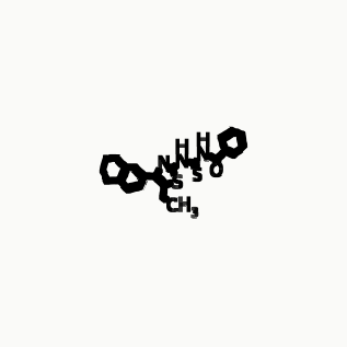 CCc1sc(NC(=S)NC(=O)c2ccccc2)nc1-c1ccc2c(c1)CCCC2